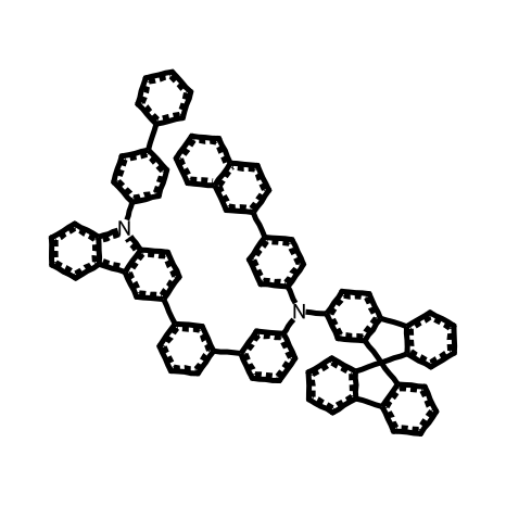 c1ccc(-c2ccc(-n3c4ccccc4c4cc(-c5cccc(-c6cccc(N(c7ccc(-c8ccc9ccccc9c8)cc7)c7ccc8c(c7)C7(c9ccccc9-c9ccccc97)c7ccccc7-8)c6)c5)ccc43)cc2)cc1